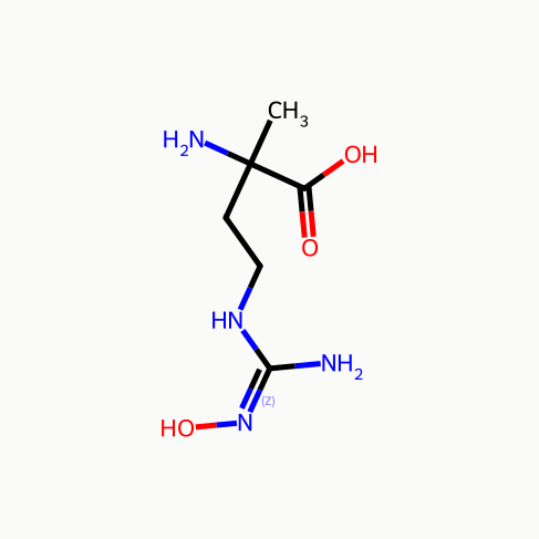 CC(N)(CCN/C(N)=N\O)C(=O)O